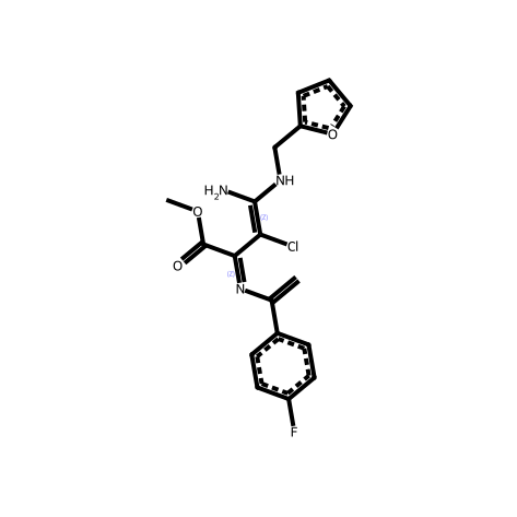 C=C(/N=C(C(=O)OC)\C(Cl)=C(/N)NCc1ccco1)c1ccc(F)cc1